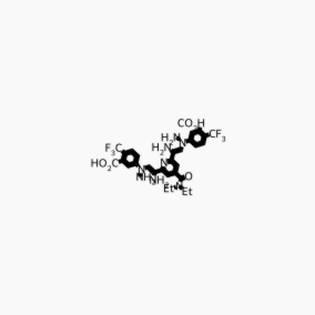 CCN(CC)C(=O)c1cc(/C(N)=C/N(N)c2ccc(C(F)(F)F)c(C(=O)O)c2)nc(/C(N)=C/N(N)c2ccc(C(F)(F)F)c(C(=O)O)c2)c1